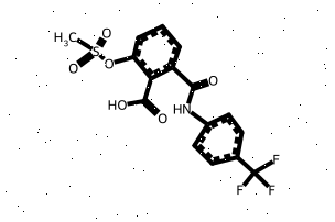 CS(=O)(=O)Oc1cccc(C(=O)Nc2ccc(C(F)(F)F)cc2)c1C(=O)O